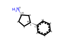 N[C@H]1CC[C@@H](c2ccccc2)C1